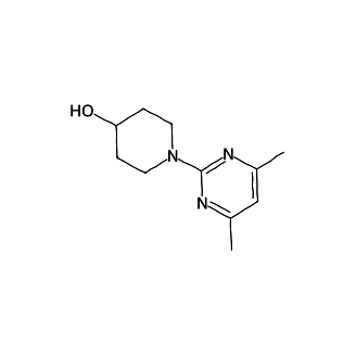 Cc1cc(C)nc(N2CCC(O)CC2)n1